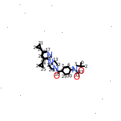 CC1(C)CN(C2C=CC(C(=O)N3CCN(c4ncc(C5CC5)cc4C4CC4)CC3)CC2)C(=O)O1